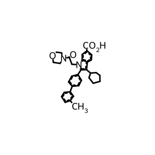 Cc1cccc(-c2ccc(-c3c(C4CCCCC4)c4ccc(C(=O)O)cc4n3CC(=O)N3CCOCC3)cc2)c1